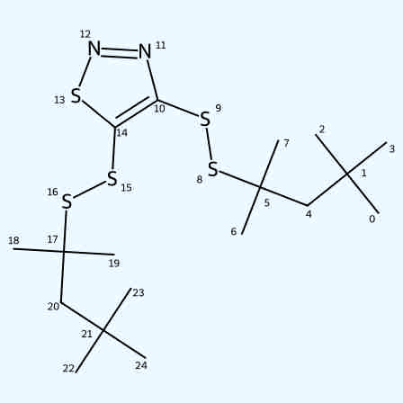 CC(C)(C)CC(C)(C)SSc1nnsc1SSC(C)(C)CC(C)(C)C